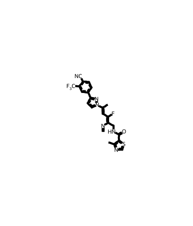 C=N/C(CNC(=O)c1scnc1C)=C(F)\C=C(/C)n1ccc(-c2ccc(C#N)c(C(F)(F)F)c2)n1